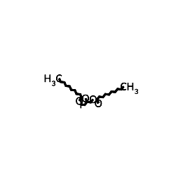 CCCCCCCCCC(=O)OCC(CI)OC(=O)CCCCCCCCC